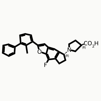 Cc1c(-c2ccccc2)cccc1-c1cc2cc3c(c(F)c2o1)CC[C@H]3N1CC[C@@H](C(=O)O)C1